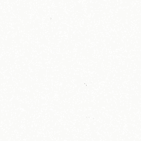 CC1(C)OCc2cc(C3CN(CCc4ccc(OCCOCc5cccc(C(=O)O)c5)cc4)C(=O)O3)ccc2O1